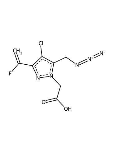 C=C(F)c1nn(CC(=O)O)c(CN=[N+]=[N-])c1Cl